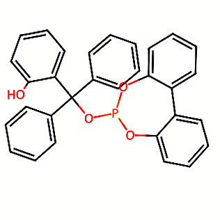 Oc1ccccc1C(Op1oc2ccccc2c2ccccc2o1)(c1ccccc1)c1ccccc1